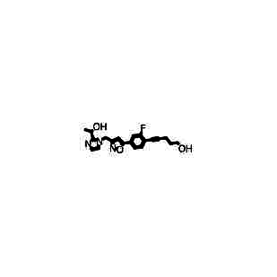 CC(O)c1nccn1Cc1cc(-c2ccc(C#CCCCO)c(F)c2)on1